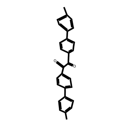 Cc1ccc(-c2ccc(C(=O)C(=O)c3ccc(-c4ccc(C)cc4)cc3)cc2)cc1